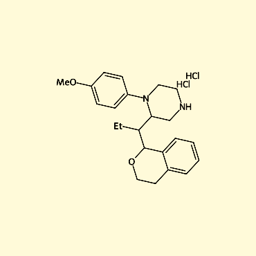 CCC(C1OCCc2ccccc21)C1CNCCN1c1ccc(OC)cc1.Cl.Cl